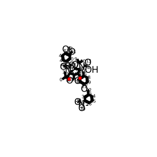 CC(C)CN(C[C@H]1OC(C)(C)N(C(=O)O)[C@@]1(Cc1ccc(OCc2cccc([N+](=O)[O-])c2)cc1)C1COC2OCCC21)S(=O)(=O)c1ccc2c(c1)OCO2